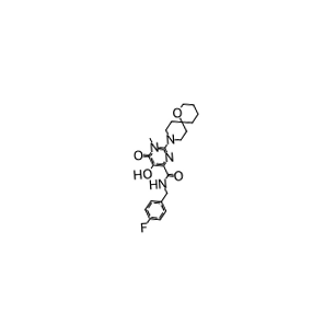 Cn1c(N2CCC3(CCCCO3)CC2)nc(C(=O)NCc2ccc(F)cc2)c(O)c1=O